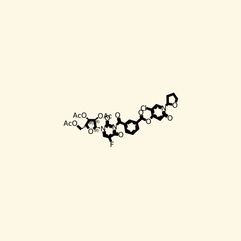 CC(=O)OC[C@H]1O[C@@H](n2cc(F)c(=O)n(C(=O)c3cccc(C(=O)Oc4cc(=O)n(C5CCCO5)cc4Cl)c3)c2=O)[C@H](OC(C)=O)[C@@H]1OC(C)=O